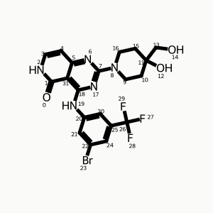 O=c1[nH]ccc2nc(N3CCC(O)(CO)CC3)nc(Nc3cc(Br)cc(C(F)(F)F)c3)c12